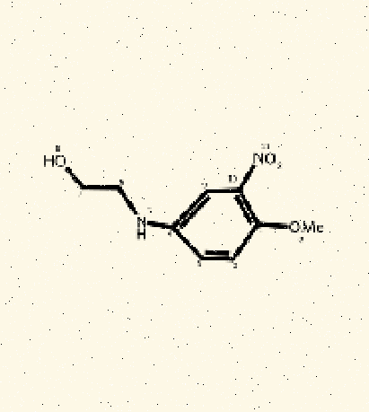 COc1ccc(NCCO)cc1[N+](=O)[O-]